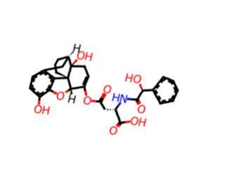 O=C(C[C@H](NC(=O)[C@@H](O)c1ccccc1)C(=O)O)OC1=CC[C@@]2(O)[C@@H]3CCC[C@@]24c2c(ccc(O)c2O[C@@H]14)C3